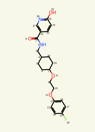 O=C(NCC1CCC(OCCOc2ccc(F)cc2)CC1)c1ccc(O)nc1